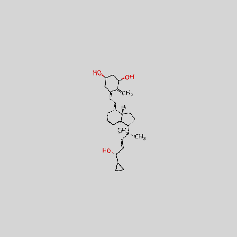 C=C1/C(=C\C=C2/CCC[C@]3(C)[C@@H]([C@H](C)/C=C/[C@@H](O)C4CC4)CC[C@@H]23)C[C@@H](O)C[C@H]1O